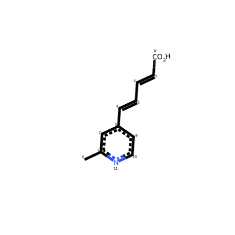 Cc1cc(/C=C/C=C/C(=O)O)ccn1